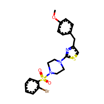 COc1ccc(Cc2csc(N3CCN(S(=O)(=O)c4ccccc4Br)CC3)n2)cc1